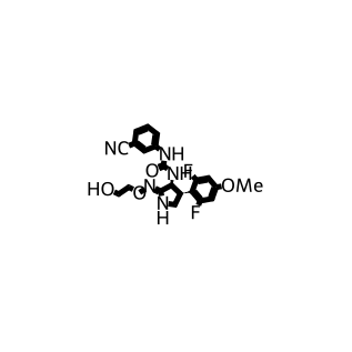 COc1cc(F)c([C@@H]2CN/C(=N\OCCO)[C@H]2NC(=O)Nc2cccc(C#N)c2)c(F)c1